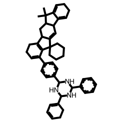 CC1(C)C2=CCCC=C2C2C=C3C(CC21)C1=C(C(c2ccc(C4NC(C5=CC=CCC5)NC(c5ccccc5)N4)cc2)=CCC1)C31CCCCC1